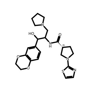 O=C(NC(CN1CCCC1)C(O)c1ccc2c(c1)OCCO2)[C@@H]1CCN(c2nccs2)C1